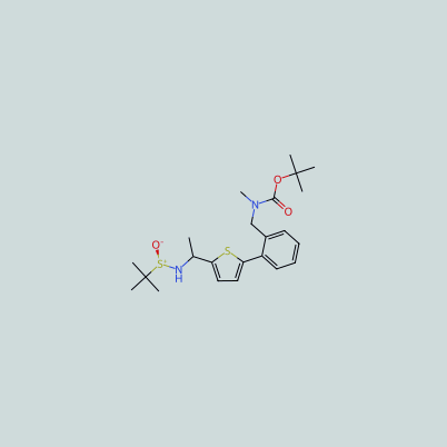 CC(N[S@+]([O-])C(C)(C)C)c1ccc(-c2ccccc2CN(C)C(=O)OC(C)(C)C)s1